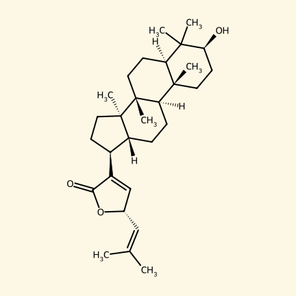 CC(C)=C[C@H]1C=C([C@H]2CC[C@]3(C)[C@@H]2CC[C@@H]2[C@@]4(C)CC[C@H](O)C(C)(C)[C@@H]4CC[C@]23C)C(=O)O1